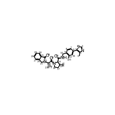 Cc1ncsc1-c1ccc(CNC(=O)C2[C@@H](F)CCN2C(=O)[C@H](C(C)C)N2Cc3ccccc3C2=O)c(I)c1